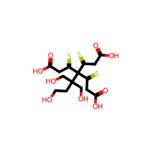 O=C(O)CC(=S)C(C(=S)CC(=O)O)(C(=S)CC(=O)O)C(CO)(CO)CCO